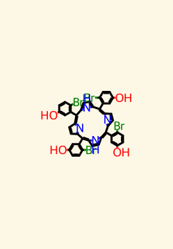 Oc1ccc(Br)c(-c2c3nc(c(-c4cc(O)ccc4Br)c4ccc([nH]4)c(-c4cc(O)ccc4Br)c4nc(c(-c5cc(O)ccc5Br)c5ccc2[nH]5)C=C4)C=C3)c1